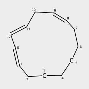 [C]1=C/CCCCCC/C=C\C/C=C/1